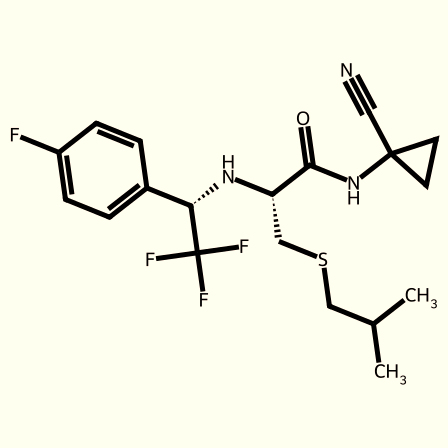 CC(C)CSC[C@H](N[C@@H](c1ccc(F)cc1)C(F)(F)F)C(=O)NC1(C#N)CC1